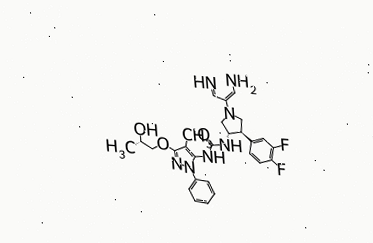 Cc1c(OC[C@H](C)O)nn(-c2ccccc2)c1NC(=O)N[C@@H]1CN(/C(C=N)=C/N)C[C@H]1c1ccc(F)c(F)c1